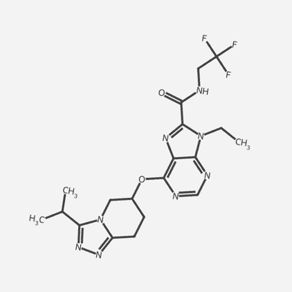 CCn1c(C(=O)NCC(F)(F)F)nc2c(OC3CCc4nnc(C(C)C)n4C3)ncnc21